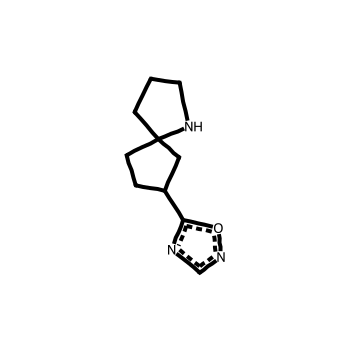 c1noc(C2CCC3(CCCN3)C2)n1